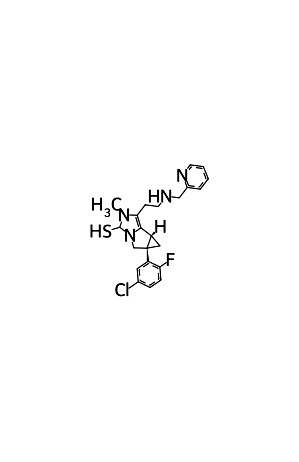 CN1C(CCNCc2ccccn2)=C2[C@@H]3C[C@]3(c3cc(Cl)ccc3F)CN2C1S